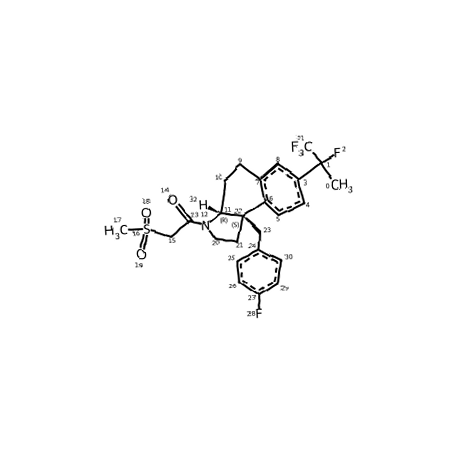 CC(F)(c1ccc2c(c1)CC[C@H]1N(C(=O)CS(C)(=O)=O)CC[C@@]21Cc1ccc(F)cc1)C(F)(F)F